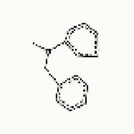 CN(Cc1ccccc1)c1c[c]ccc1